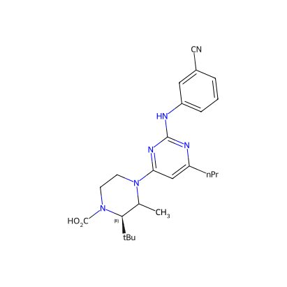 CCCc1cc(N2CCN(C(=O)O)[C@H](C(C)(C)C)C2C)nc(Nc2cccc(C#N)c2)n1